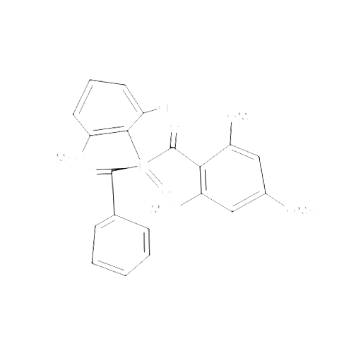 COc1cc(OC)c(C(=O)P(=O)(C(=O)c2ccccc2)c2c(Cl)cccc2OC)c(OC)c1